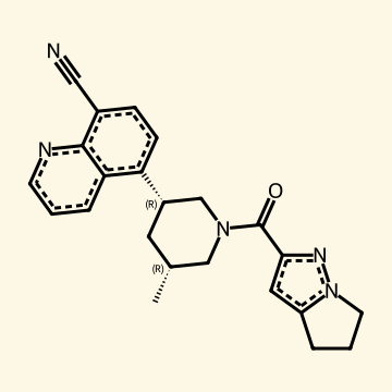 C[C@@H]1C[C@H](c2ccc(C#N)c3ncccc23)CN(C(=O)c2cc3n(n2)CCC3)C1